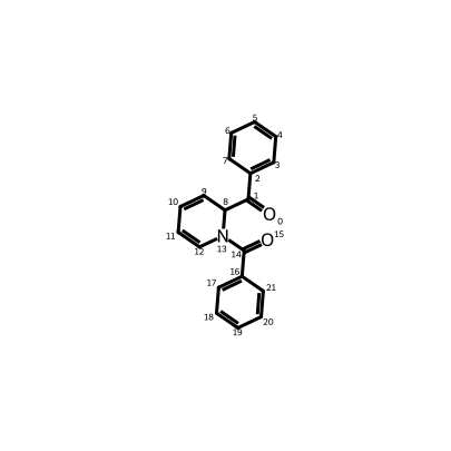 O=C(c1ccccc1)C1C=CC=CN1C(=O)c1ccccc1